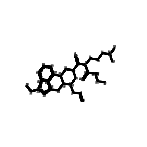 C=CCN1CC(C(=O)N(CCCN(C)C)C(=O)NCC)CC2c3cccc4c3c(cn4CC)CC21